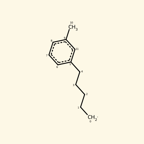 [CH2]CCCCc1cccc(C)c1